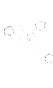 COc1ccccc1OCCCNC(C1CCc2ccccc2N1)S(=O)(=O)c1ccccc1